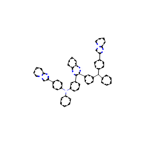 c1ccc(C(c2ccc(-c3cn4ccccc4n3)cc2)c2cccc(-c3nc4ccccc4nc3-c3cccc(N(c4ccccc4)c4ccc(-c5cn6ccccc6n5)cc4)c3)c2)cc1